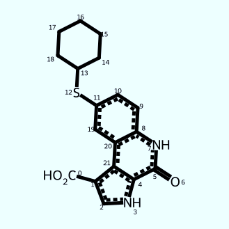 O=C(O)c1c[nH]c2c(=O)[nH]c3ccc(SC4CCCCC4)cc3c12